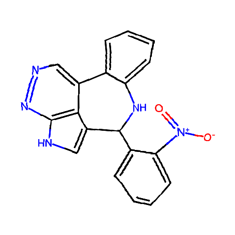 O=[N+]([O-])c1ccccc1C1Nc2ccccc2-c2cnnc3[nH]cc1c23